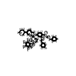 O=C(NOCc1ccccc1)c1ccc(N(Cc2ccc(C3CCCCC3)cn2)C(=O)[C@H]2CCN2S(=O)(=O)c2c(F)c(F)c(F)c(F)c2F)cc1OCc1ccccc1